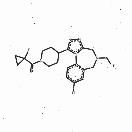 O=C(N1CCC(c2nnc3n2-c2ccc(Cl)cc2CN(CC(F)(F)F)C3)CC1)C1(F)CC1